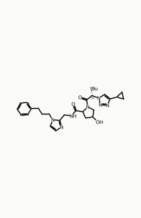 CC(C)(C)[C@@H](C(=O)N1CC(O)CC1C(=O)NCc1nccn1CCCc1ccccc1)n1cc(C2CC2)nn1